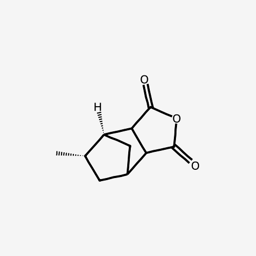 C[C@H]1CC2C[C@@H]1C1C(=O)OC(=O)C21